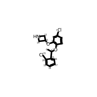 CC(Oc1ccc(Cl)cc1OC1CNC1)c1ccccc1Cl